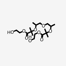 CC(COCC(C)OC(C)(C)C(=O)OCCO)OC(C)(C)C(=O)OCCO